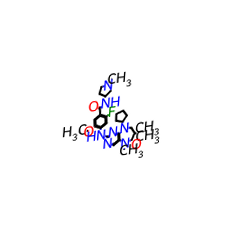 COc1cc(C(=O)N[C@@H]2CCN(C)C2)c(F)cc1Nc1ncc2c(n1)N(C1CCCC1)CC(C)(C)C(=O)N2C